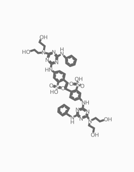 O=S(=O)(O)c1cc(Nc2nc(Nc3ccccc3)nc(N(CCO)CCO)n2)ccc1C=Cc1ccc(Nc2nc(Nc3ccccc3)nc(N(CCO)CCO)n2)cc1S(=O)(=O)O